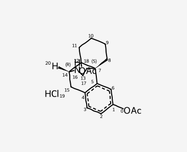 CC(=O)Oc1ccc2c(c1)[C@@]13CCCCC1(OC(C)=O)[C@@H](C2)NCC3.Cl